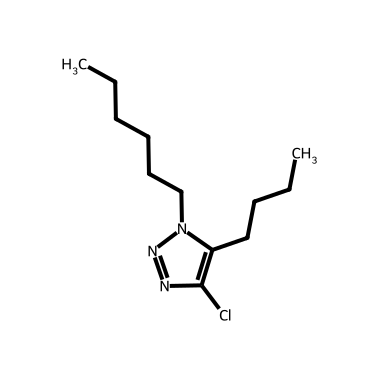 CCCCCCn1nnc(Cl)c1CCCC